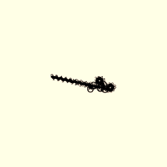 CCCCCCCCC=CCCCCCCCC(=O)OCCOP(Oc1ccccc1)Oc1ccccc1